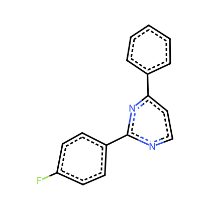 Fc1ccc(-c2nccc(-c3ccccc3)n2)cc1